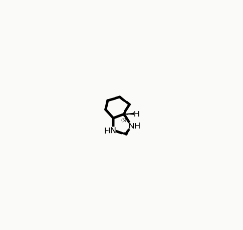 C1CC[C@@H]2NCNC2C1